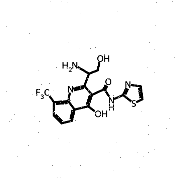 NC(CO)c1nc2c(C(F)(F)F)cccc2c(O)c1C(=O)Nc1nccs1